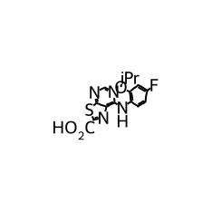 CC(C)Oc1cc(F)ccc1Nc1ncnc2sc(C(=O)O)nc12